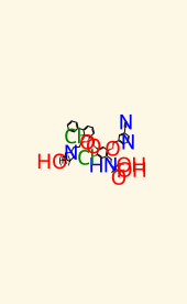 CC(CO)(NCc1cc(Cl)c(OCC2(OCCCN3CC[C@@H](O)C3)C=CC=C(c3ccccc3)C2(C)Cl)cc1OCc1cncc(C#N)c1)C(=O)O